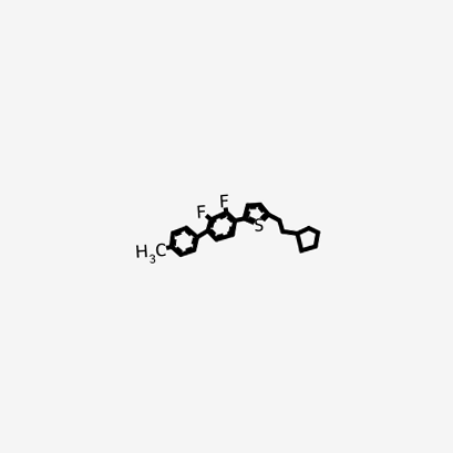 Cc1ccc(-c2ccc(-c3ccc(CCC4CCCC4)s3)c(F)c2F)cc1